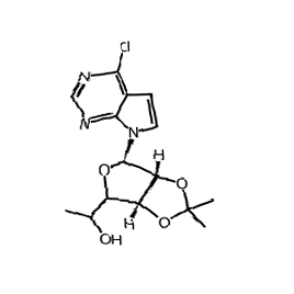 CC(O)C1O[C@@H](n2ccc3c(Cl)ncnc32)[C@@H]2OC(C)(C)O[C@H]12